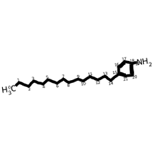 CCCCCCCCCCCCCCCc1ccc(N)cc1